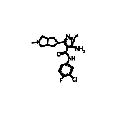 CN1CC2CC(c3nn(C)c(N)c3C(=O)Nc3ccc(F)c(Cl)c3)CC2C1